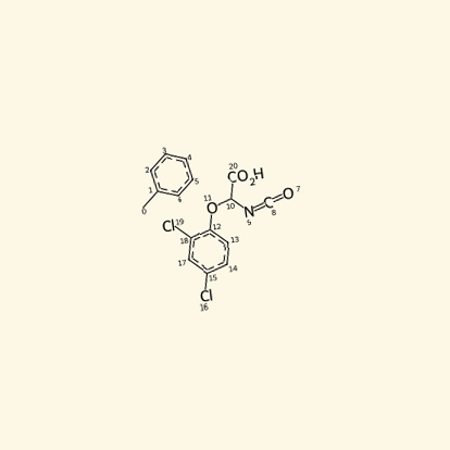 Cc1ccccc1.O=C=NC(Oc1ccc(Cl)cc1Cl)C(=O)O